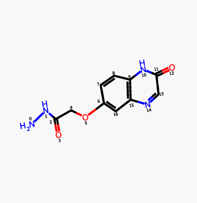 NNC(=O)COc1ccc2[nH]c(=O)cnc2c1